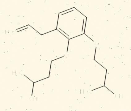 C=CCc1cccc(OCCC(C)C)c1OCCC(C)C